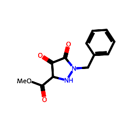 COC(=O)C1NN(Cc2ccccc2)C(=O)C1=O